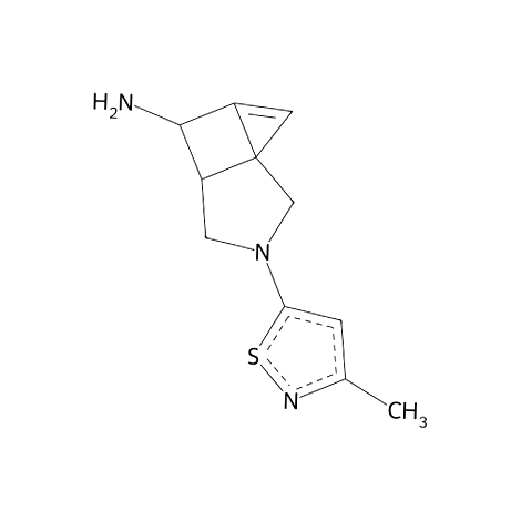 Cc1cc(N2CC3C(N)C4=CC43C2)sn1